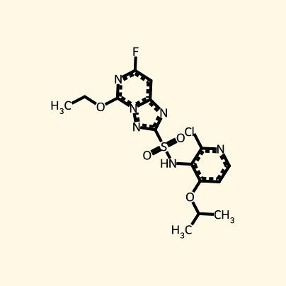 CCOc1nc(F)cc2nc(S(=O)(=O)Nc3c(OC(C)C)ccnc3Cl)nn12